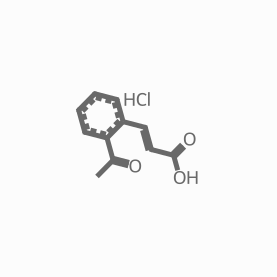 CC(=O)c1ccccc1C=CC(=O)O.Cl